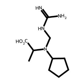 CC(C(=O)O)N(CNC(=N)N)C1CCCC1